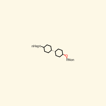 CCCCCCCCCO[C@H]1CC[C@H](C2CCC(CCCCCCC)CC2)CC1